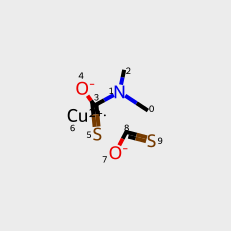 CN(C)C([O-])=S.[Cu+2].[O-]C=S